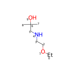 CCOCCNCC(C)(C)O